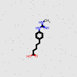 CNC(=N)Nc1ccc(CCCCC(=O)O)cc1